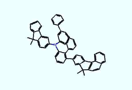 CC1(C)c2ccccc2-c2cc(N(c3cccc(-c4ccccc4)c3)c3cccc(-c4ccc5c(c4)C(C)(C)c4ccc6ccccc6c4-5)c3-c3ccccc3)ccc21